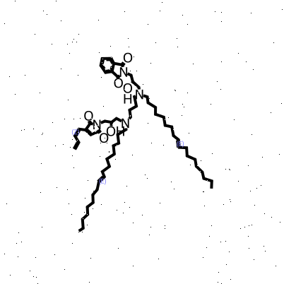 C=C/C=C\C1=CC(=O)N(CC(O)CN(CCCCCCCC/C=C/CCCCCCCC)CCCCN(CCCCCCCC/C=C/CCCCCCCC)CC(O)CN2C(=O)c3ccccc3C2=O)C1=O